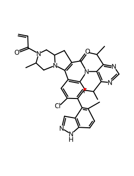 C=CC(=O)N1CC2Cc3c(c4cc(Cl)c(-c5c(C)ccc6[nH]ncc56)c(F)c4n(-c4c(C(C)C)ncnc4C(C)C)c3=O)N2CC1C